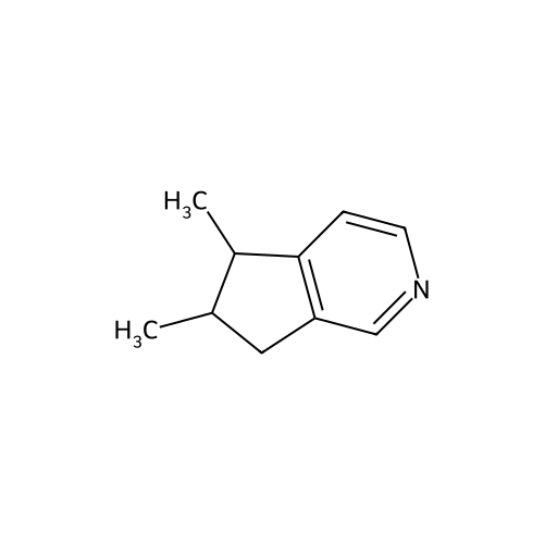 CC1Cc2cnccc2C1C